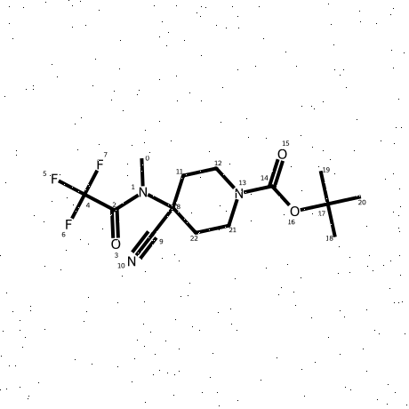 CN(C(=O)C(F)(F)F)C1(C#N)CCN(C(=O)OC(C)(C)C)CC1